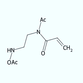 C=CC(=O)N(CCNOC(C)=O)C(C)=O